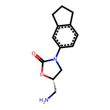 NC[C@H]1CN(c2ccc3c(c2)CCC3)C(=O)O1